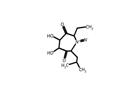 CCC1C(=O)C(O)C(O)C(=O)C(CC(C)C)[N+]1=[N-]